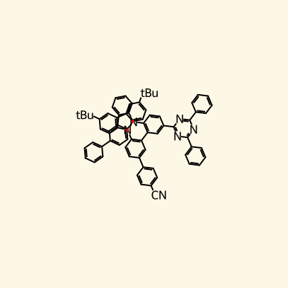 CC(C)(C)c1ccc2c(c1)c1cc(C(C)(C)C)ccc1n2-c1ccc(-c2ccc(C#N)cc2)cc1-c1cc(-c2nc(-c3ccccc3)nc(-c3ccccc3)n2)ccc1-n1c2ccccc2c2cc(-c3ccccc3)ccc21